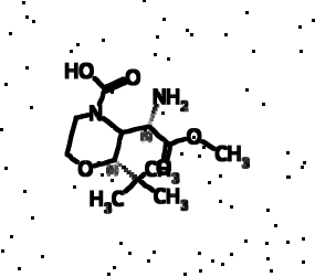 COC(=O)[C@@H](N)C1[C@H](C(C)(C)C)OCCN1C(=O)O